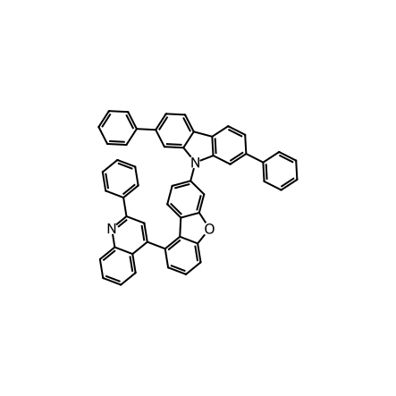 c1ccc(-c2ccc3c4ccc(-c5ccccc5)cc4n(-c4ccc5c(c4)oc4cccc(-c6cc(-c7ccccc7)nc7ccccc67)c45)c3c2)cc1